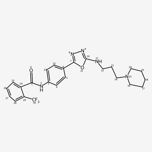 O=C(Nc1ccc(-c2nnc(NCCCN3CCCCC3)o2)cc1)c1ccccc1C(F)(F)F